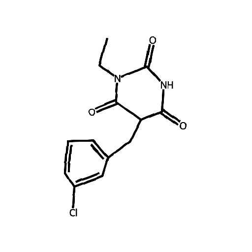 CCN1C(=O)NC(=O)C(Cc2cccc(Cl)c2)C1=O